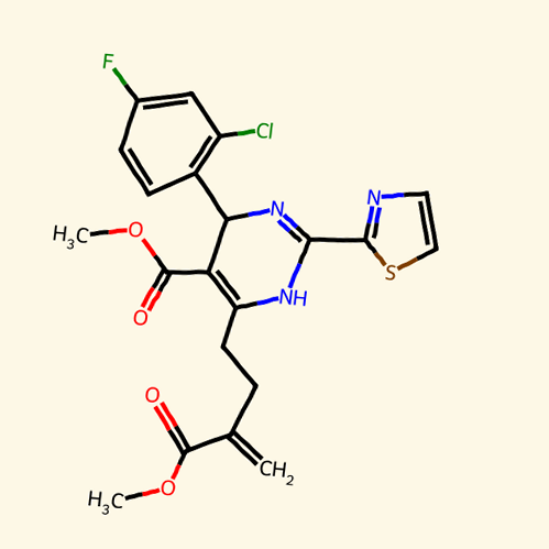 C=C(CCC1=C(C(=O)OC)C(c2ccc(F)cc2Cl)N=C(c2nccs2)N1)C(=O)OC